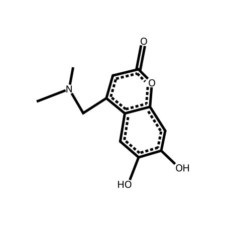 CN(C)Cc1cc(=O)oc2cc(O)c(O)cc12